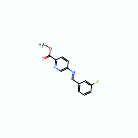 COC(=O)c1ccc(/N=C/c2cccc(F)c2)cn1